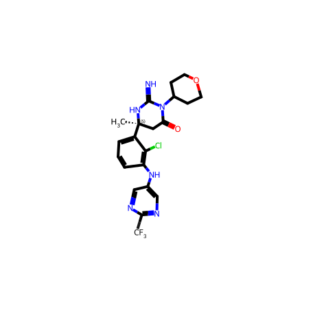 C[C@@]1(c2cccc(Nc3cnc(C(F)(F)F)nc3)c2Cl)CC(=O)N(C2CCOCC2)C(=N)N1